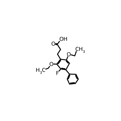 CCOc1cc(-c2ccccc2)c(F)c(OCC)c1CCC(=O)O